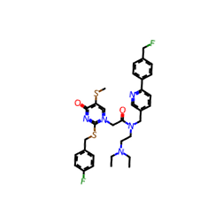 CCN(CC)CCN(Cc1ccc(-c2ccc(CF)cc2)nc1)C(=O)Cn1cc(SC)c(=O)nc1SCc1ccc(F)cc1